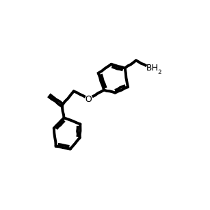 BCc1ccc(OCC(=C)c2ccccc2)cc1